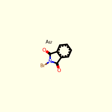 O=C1c2ccccc2C(=O)N1Br.[Au]